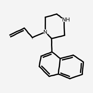 C=C[CH]N1CCNCC1c1cccc2ccccc12